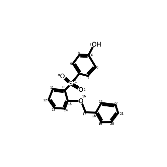 O=S(=O)(c1ccc(O)cc1)c1ccccc1OCc1ccccc1